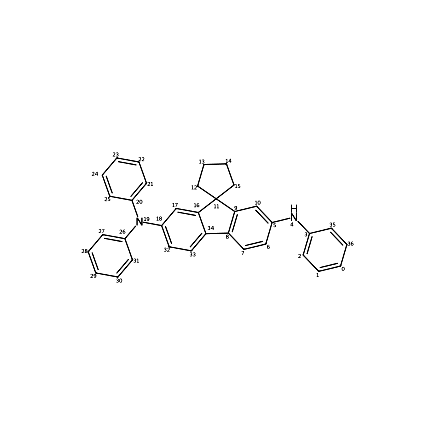 c1ccc(Nc2ccc3c(c2)C2(CCCC2)c2cc(N(c4ccccc4)c4ccccc4)ccc2-3)cc1